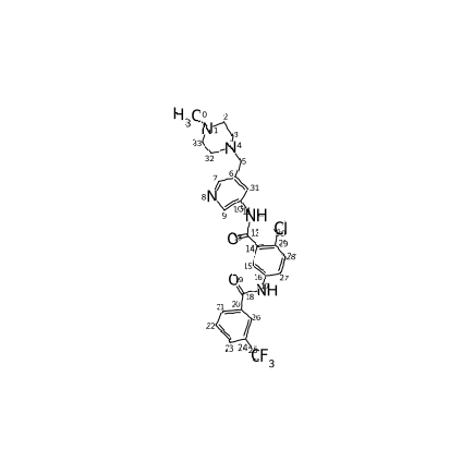 CN1CCN(Cc2cncc(NC(=O)c3cc(NC(=O)c4cccc(C(F)(F)F)c4)ccc3Cl)c2)CC1